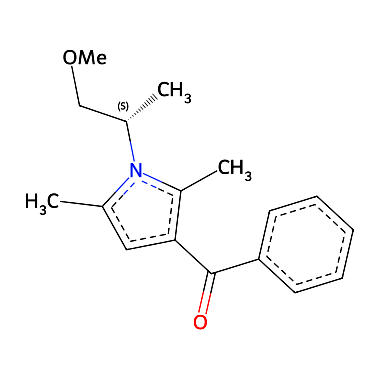 COC[C@H](C)n1c(C)cc(C(=O)c2ccccc2)c1C